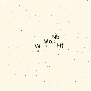 [Hf].[Mo].[Nb].[W]